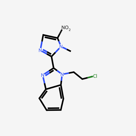 Cn1c([N+](=O)[O-])cnc1-c1nc2ccccc2n1CCCl